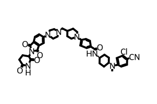 CN(c1ccc(C#N)c(Cl)c1)[C@H]1CC[C@H](NC(=O)c2ccc(N3CCC(CN4CCN(c5ccc6c(c5)C(=O)N(C5CCC(=O)NC5=O)C6=O)CC4)CC3)cc2)CC1